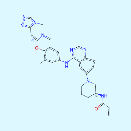 C=CC(=O)N[C@H]1CCCN(c2ccc3ncnc(Nc4ccc(O/C(=C/c5nncn5C)N=C)c(C)c4)c3c2)C1